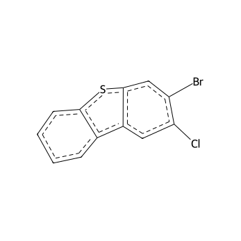 Clc1cc2c(cc1Br)sc1ccccc12